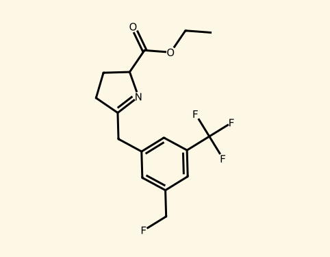 CCOC(=O)C1CCC(Cc2cc(CF)cc(C(F)(F)F)c2)=N1